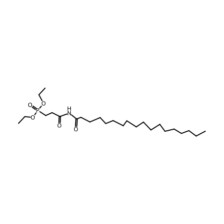 CCCCCCCCCCCCCCCCCC(=O)NC(=O)CCP(=O)(OCC)OCC